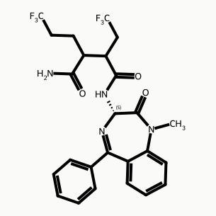 CN1C(=O)[C@@H](NC(=O)C(CC(F)(F)F)C(CCC(F)(F)F)C(N)=O)N=C(c2ccccc2)c2ccccc21